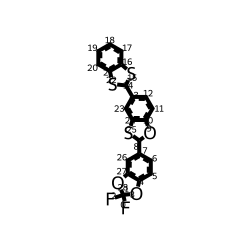 FC1(F)Oc2ccc(C3Oc4ccc(C5Sc6ccccc6S5)cc4S3)cc2O1